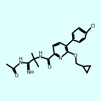 CC(=O)NC(=N)C(C)(C)NC(=O)c1ccc(-c2ccc(Cl)cc2)c(OCC2CC2)n1